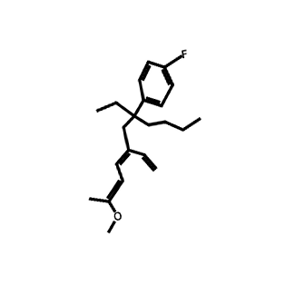 C=C/C(=C\C=C(/C)OC)CC(CC)(CCCC)c1ccc(F)cc1